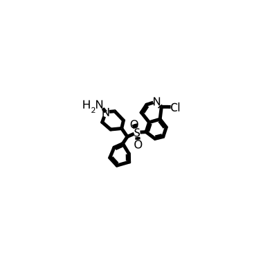 NN1CCC(C(c2ccccc2)S(=O)(=O)c2cccc3c(Cl)nccc23)CC1